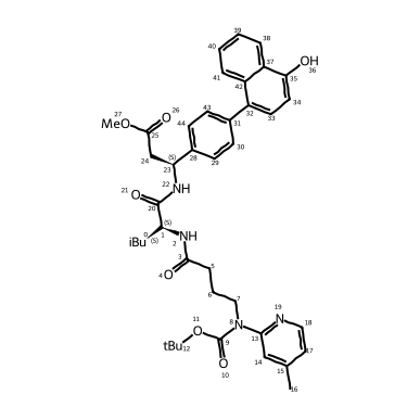 CC[C@H](C)[C@H](NC(=O)CCCN(C(=O)OC(C)(C)C)c1cc(C)ccn1)C(=O)N[C@@H](CC(=O)OC)c1ccc(-c2ccc(O)c3ccccc23)cc1